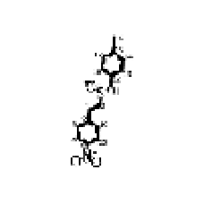 O=[N+]([O-])c1ccc(C=C[S+]([O-])Cc2ccc(I)cc2)cc1